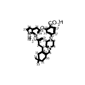 C=C(CCC1=C(CN2CCN(c3ccc(C(=O)O)c(Oc4cnc5[nH]ccc5c4)c3)CC2)CCC(C)(C)C1)C(F)(F)F